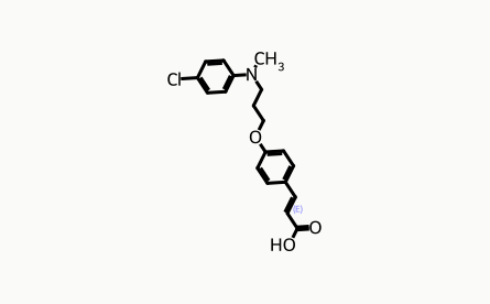 CN(CCCOc1ccc(/C=C/C(=O)O)cc1)c1ccc(Cl)cc1